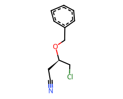 N#CC[C@H](CCl)OCc1ccccc1